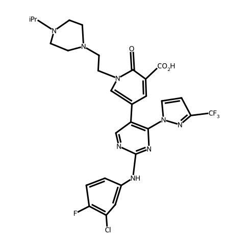 CC(C)N1CCN(CCn2cc(-c3cnc(Nc4ccc(F)c(Cl)c4)nc3-n3ccc(C(F)(F)F)n3)cc(C(=O)O)c2=O)CC1